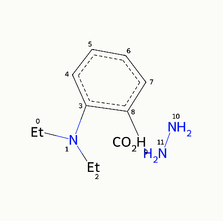 CCN(CC)c1ccccc1C(=O)O.NN